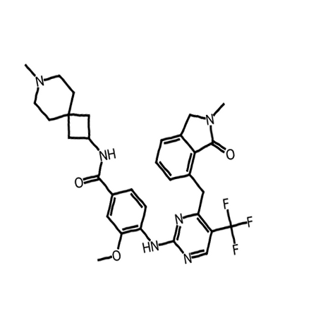 COc1cc(C(=O)NC2CC3(CCN(C)CC3)C2)ccc1Nc1ncc(C(F)(F)F)c(Cc2cccc3c2C(=O)N(C)C3)n1